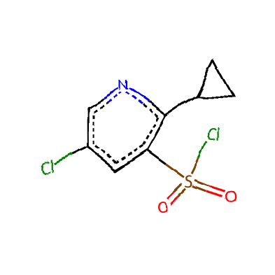 O=S(=O)(Cl)c1cc(Cl)cnc1C1CC1